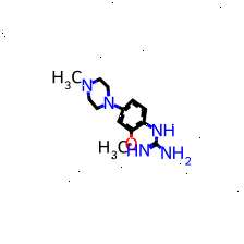 COc1cc(N2CCN(C)CC2)ccc1NC(=N)N